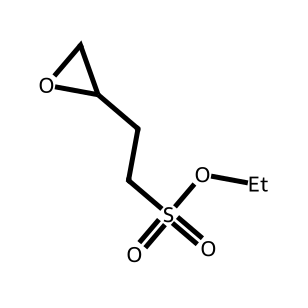 CCOS(=O)(=O)CCC1CO1